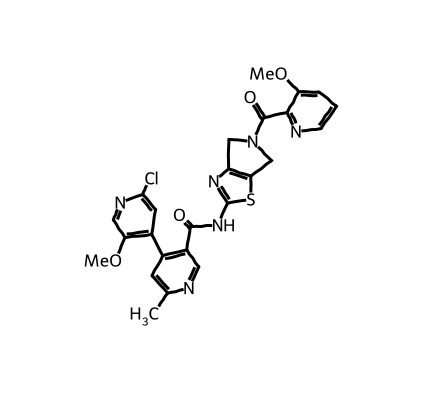 COc1cnc(Cl)cc1-c1cc(C)ncc1C(=O)Nc1nc2c(s1)CN(C(=O)c1ncccc1OC)C2